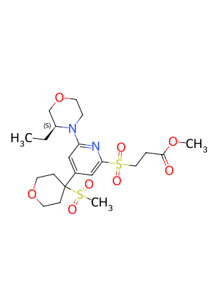 CC[C@H]1COCCN1c1cc(C2(S(C)(=O)=O)CCOCC2)cc(S(=O)(=O)CCC(=O)OC)n1